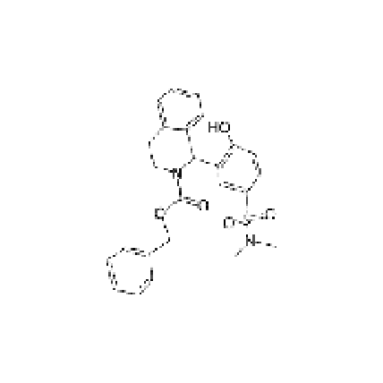 CN(C)S(=O)(=O)c1ccc(O)c(C2c3ccccc3CCN2C(=O)OCc2ccccc2)c1